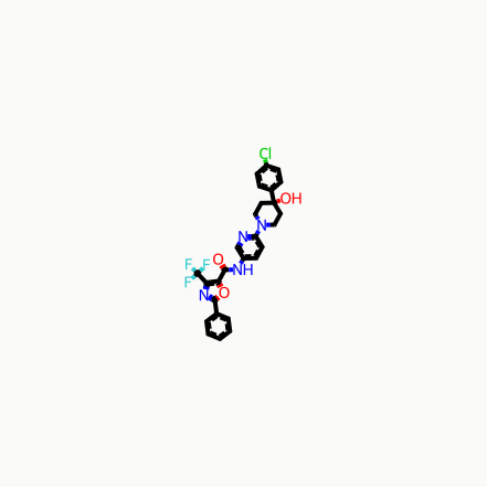 O=C(Nc1ccc(N2CCC(O)(c3ccc(Cl)cc3)CC2)nc1)c1oc(-c2ccccc2)nc1C(F)(F)F